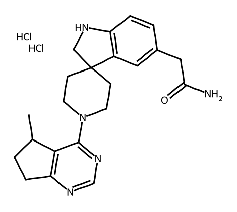 CC1CCc2ncnc(N3CCC4(CC3)CNc3ccc(CC(N)=O)cc34)c21.Cl.Cl